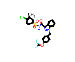 Cc1cc(S(=O)(=O)NC(=O)c2nn(Cc3ccc(OC(F)F)cc3)c3ccccc23)ccc1Cl